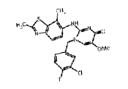 COc1cn(Cc2ccc(F)c(Cl)c2)c(Nc2ccc3nc(C)sc3c2C)nc1=O